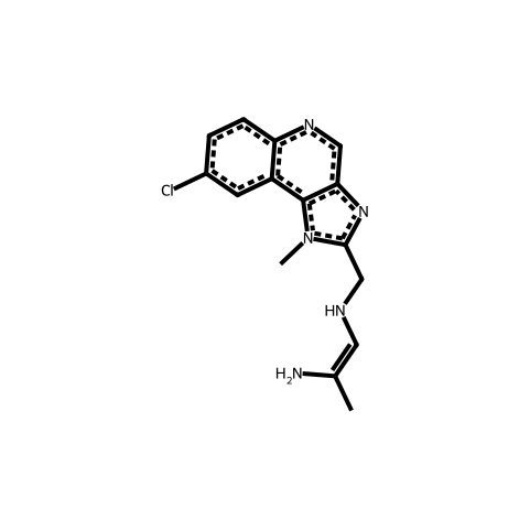 C/C(N)=C/NCc1nc2cnc3ccc(Cl)cc3c2n1C